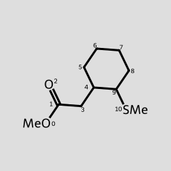 COC(=O)CC1CCCCC1SC